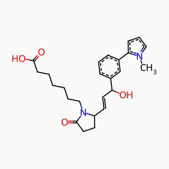 Cn1cccc1-c1cccc(C(O)C=CC2CCC(=O)N2CCCCCCC(=O)O)c1